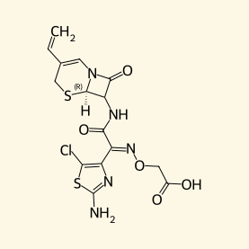 C=CC1=CN2C(=O)C(NC(=O)C(=NOCC(=O)O)c3nc(N)sc3Cl)[C@H]2SC1